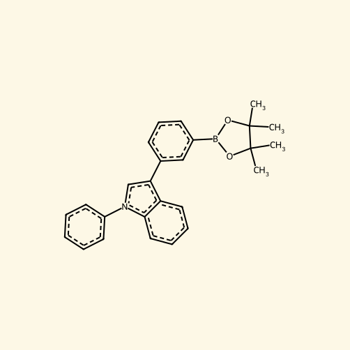 CC1(C)OB(c2cccc(-c3cn(-c4ccccc4)c4ccccc34)c2)OC1(C)C